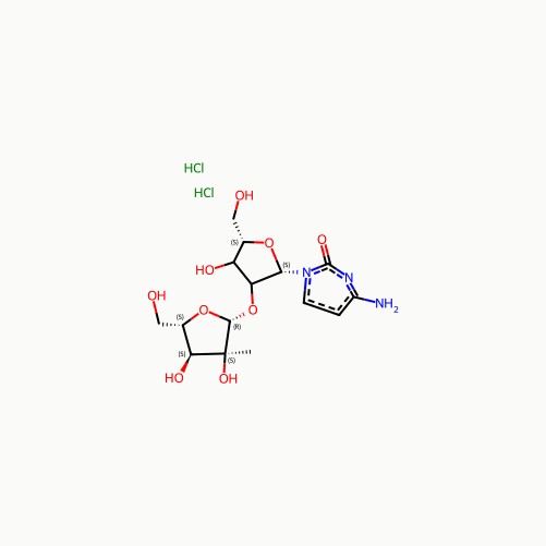 C[C@@]1(O)[C@@H](OC2C(O)[C@H](CO)O[C@@H]2n2ccc(N)nc2=O)O[C@@H](CO)[C@@H]1O.Cl.Cl